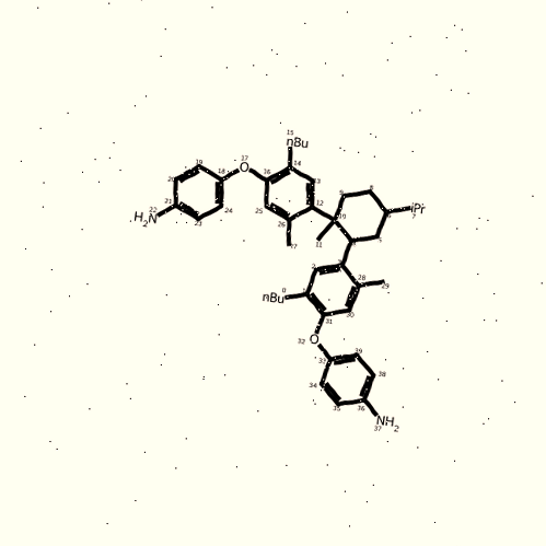 CCCCc1cc(C2CC(C(C)C)CCC2(C)c2cc(CCCC)c(Oc3ccc(N)cc3)cc2C)c(C)cc1Oc1ccc(N)cc1